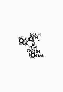 COc1ccnc(C(=O)N[C@H]2COC(=O)[C@H](Cc3ccccc3)[C@@H](CC(C)C(=O)O)[C@H](C)OC2=O)c1O